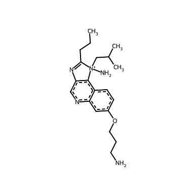 CCCC1=Nc2cnc3cc(OCCCN)ccc3c2[N+]1(N)CC(C)C